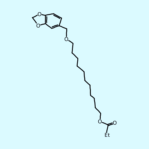 CCC(=O)OCCCCCCCCCCCOCc1ccc2c(c1)OCO2